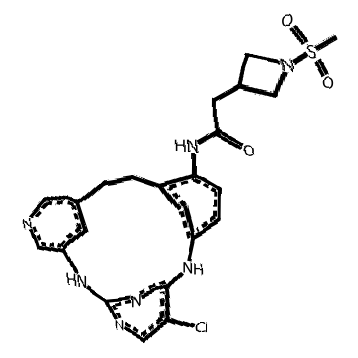 CS(=O)(=O)N1CC(CC(=O)Nc2ccc3cc2CCc2cncc(c2)Nc2ncc(Cl)c(n2)N3)C1